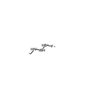 CNBBF